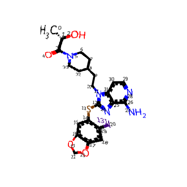 C[C@H](O)C(=O)N1CCC(CCn2c(Sc3cc4c(cc3[131I])OCO4)nc3c(N)nccc32)CC1